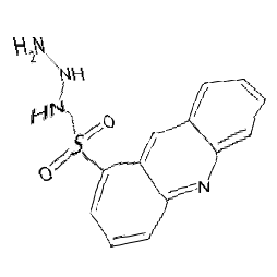 NNNS(=O)(=O)c1cccc2nc3ccccc3cc12